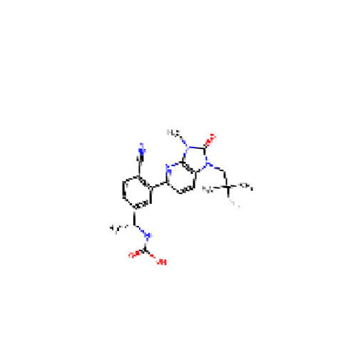 C[C@@H](NC(=O)O)c1ccc(C#N)c(-c2ccc3c(n2)n(C)c(=O)n3CC(C)(C)C)c1